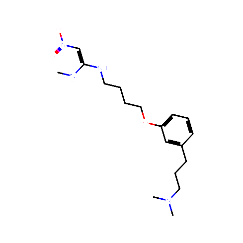 CNC(=C[N+](=O)[O-])NCCCCOc1cccc(CCCN(C)C)c1